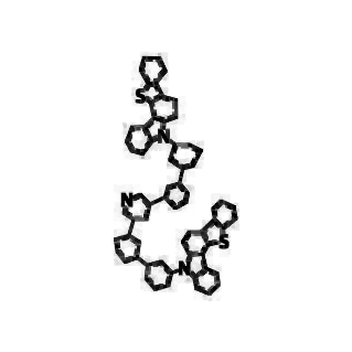 c1cc(-c2cncc(-c3cccc(-c4cccc(-n5c6ccccc6c6c7sc8ccccc8c7ccc65)c4)c3)c2)cc(-c2cccc(-n3c4ccccc4c4c5sc6ccccc6c5ccc43)c2)c1